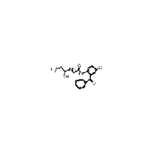 CCC(O)NCC(=O)Nc1ccc(Cl)cc1C(=O)c1ccccc1